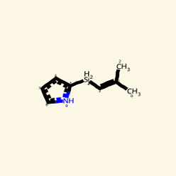 CC(C)=C[SiH2]c1ccc[nH]1